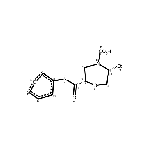 CC[C@@H]1CO[C@H](C(=O)Nc2ccccc2)CN1C(=O)O